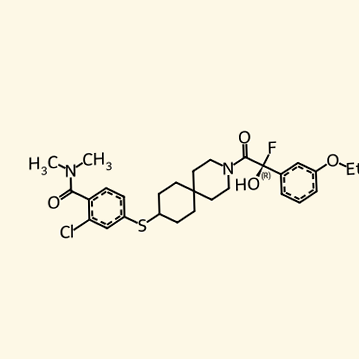 CCOc1cccc([C@@](O)(F)C(=O)N2CCC3(CCC(Sc4ccc(C(=O)N(C)C)c(Cl)c4)CC3)CC2)c1